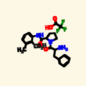 Cc1cccc(NC(=O)C2CCCN2C(=O)C(N)Cc2ccccc2)c1C(=O)O.O=C(O)C(F)(F)F